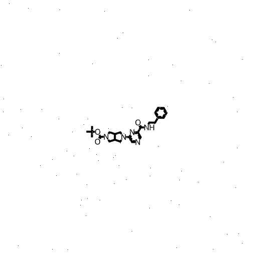 CC(C)(C)OC(=O)N1CC2CN(c3cncc(C(=O)NCCc4ccccc4)n3)CC2C1